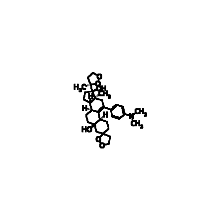 CN(C)c1ccc(C2=C3[C@@H](CC[C@@]4(O)CC5(CCOO5)CC[C@H]34)[C@@H]3CC[C@](O)([C@@]4(C)CCOO4)[C@@]3(C)C2)cc1